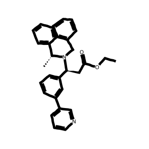 CCOC(=O)C[C@@H](c1cccc(-c2cccnc2)c1)N(Cc1ccccc1)[C@H](C)c1ccccc1